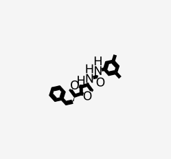 Cc1cc(C)cc(NC(=O)N[C@H]2COC3[C@H](/C=C\c4ccccc4)CO[C@@H]32)c1